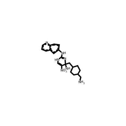 NCC1CCC(CC2(N)N=C(Nc3ccc4ncccc4c3)NC=C2[N+](=O)[O-])CC1